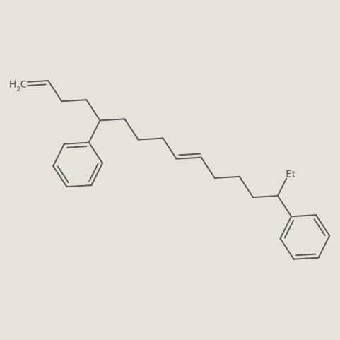 C=CCCC(CCCC=CCCCC(CC)c1ccccc1)c1ccccc1